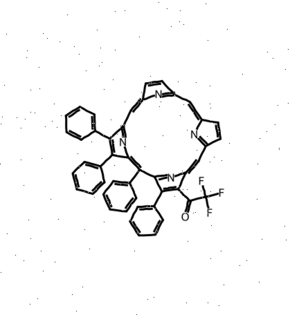 O=C(C1=C(c2ccccc2)C2=NC1=CC1=NC(=CC3=NC(=CC4=NC(=C2c2ccccc2)C(c2ccccc2)=C4c2ccccc2)C=C3)C=C1)C(F)(F)F